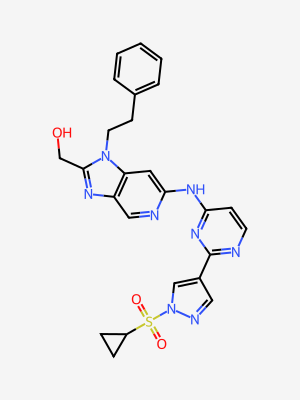 O=S(=O)(C1CC1)n1cc(-c2nccc(Nc3cc4c(cn3)nc(CO)n4CCc3ccccc3)n2)cn1